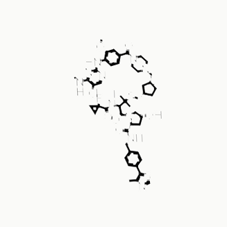 CNc1nc(Nc2ccc(C(=O)N3CCN(C[C@H]4CC[C@H](CSC(C)(C)C(NC(=O)C5(F)CC5)C(=O)N5C[C@H](O)C[C@H]5C(=O)NCc5ccc(-c6scnc6C)cc5)C4)CC3)cc2OC)ncc1Cl